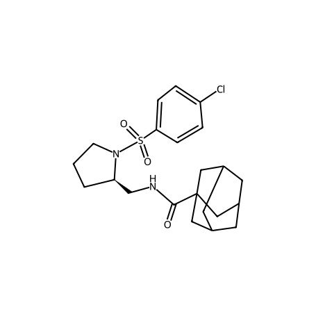 O=C(NC[C@H]1CCCN1S(=O)(=O)c1ccc(Cl)cc1)C12CC3CC(CC(C3)C1)C2